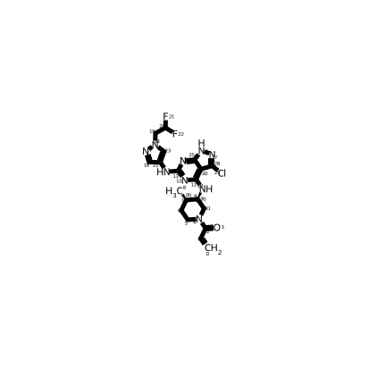 C=CC(=O)N1CC[C@@H](C)[C@@H](Nc2nc(Nc3cnn(CC(F)F)c3)nc3[nH]nc(Cl)c23)C1